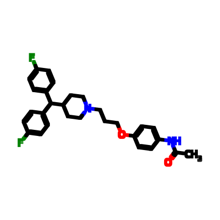 CC(=O)Nc1ccc(OCCCN2CCC(C(c3ccc(F)cc3)c3ccc(F)cc3)CC2)cc1